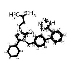 CC(C)CCn1cc(C2CCCCC2)n(Cc2ccc(-c3ccccc3-c3nnn[nH]3)cc2)c1=O